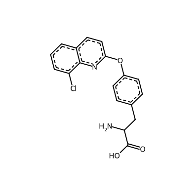 NC(Cc1ccc(Oc2ccc3cccc(Cl)c3n2)cc1)C(=O)O